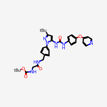 CC(C)(C)OC(=O)NCC(=O)NCc1ccc(-n2nc(C(C)(C)C)cc2NC(=O)Nc2ccc(Oc3ccncc3)cc2)cc1